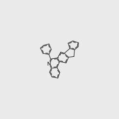 c1ccc(-c2nc3ccccc3c3cc4c(cc23)-c2ccccc2C4)cc1